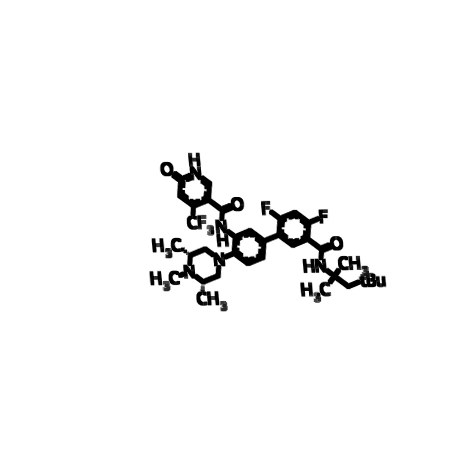 C[C@@H]1CN(c2ccc(-c3cc(C(=O)NC(C)(C)CC(C)(C)C)c(F)cc3F)cc2NC(=O)c2c[nH]c(=O)cc2C(F)(F)F)C[C@H](C)N1C